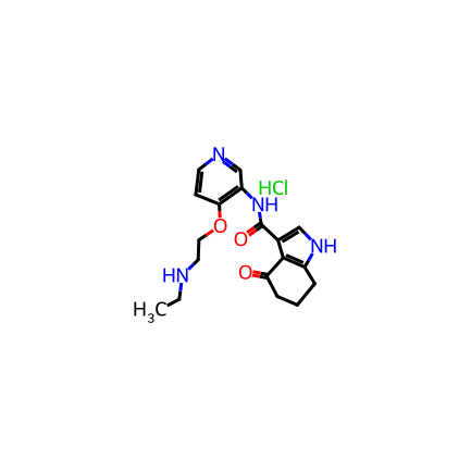 CCNCCOc1ccncc1NC(=O)c1c[nH]c2c1C(=O)CCC2.Cl